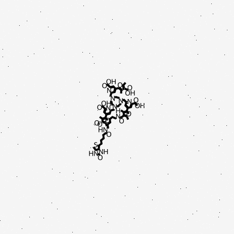 COOc1c(C)oc(-c2cc(CN3CCN(Cc4cc(-c5oc(C)c(C(=O)O)c5C)cc(C(=O)O)n4)CCN(Cc4cc(-c5oc(C)c(C(=O)NCCCCCCNC(=O)CCCCC6SCC7NC(=O)NC76)c5C)cc(C(=O)O)n4)CC3)nc(C(=O)O)c2)c1C